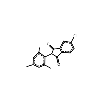 Cc1cc(C)c(C2C(=O)c3ccc(Cl)cc3C2=O)c(C)c1